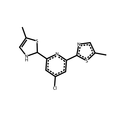 CC1=CNC(c2cc(Cl)cc(-c3ncc(C)s3)n2)S1